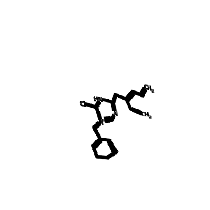 C=C/C=C(\C=C)CC1=NC=[N+](CC2=CCCC=C2)C(Cl)N1